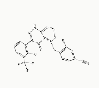 N#Cc1ccc(Cc2cccc3[nH]nc(-c4cccc(C(F)(F)F)c4Cl)c(=O)c23)c(F)c1